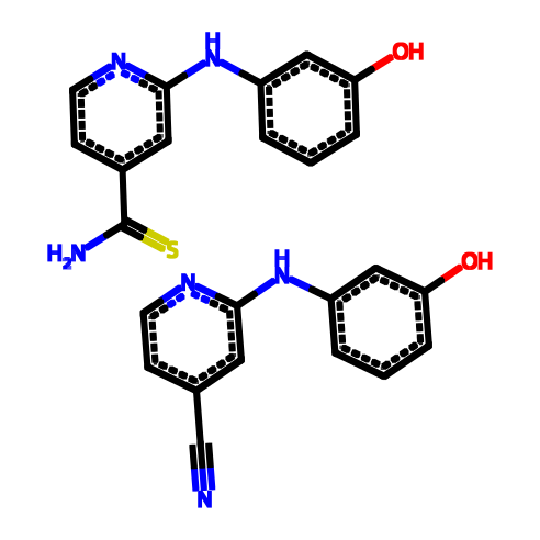 N#Cc1ccnc(Nc2cccc(O)c2)c1.NC(=S)c1ccnc(Nc2cccc(O)c2)c1